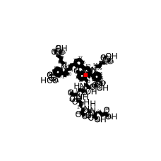 CC1(C)C(/C=C/C2=C(Oc3ccc(C[C@H](NC(=O)C[C@H](NC(=O)CC[C@H](NC(=O)N[C@@H](CCC(=O)O)C(=O)O)C(=O)O)C(=O)O)C(=O)O)cc3)C(=C/C=C3/N(CCCCS(=O)(=O)O)c4ccc(S(=O)(=O)O)cc4C3(C)C)/CCC2)=[N+](CCCCS(=O)(=O)O)c2ccc(S(=O)(=O)O)cc21